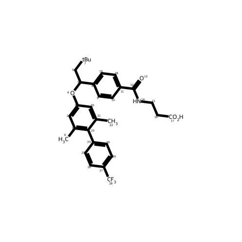 Cc1cc(OC(CC(C)(C)C)c2ccc(C(=O)NCCC(=O)O)cc2)cc(C)c1-c1ccc(C(F)(F)F)cc1